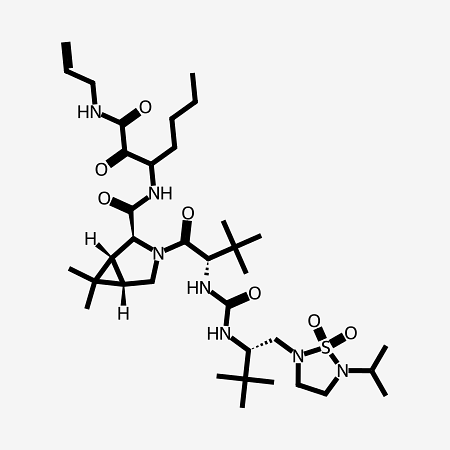 C=CCNC(=O)C(=O)C(CCCC)NC(=O)[C@@H]1[C@@H]2[C@H](CN1C(=O)[C@@H](NC(=O)N[C@H](CN1CCN(C(C)C)S1(=O)=O)C(C)(C)C)C(C)(C)C)C2(C)C